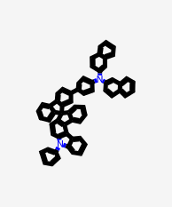 c1ccc(-n2c3ccccc3c3c4c(ccc32)C2(c3ccccc3-c3ccc(-c5ccc(N(c6ccc7ccccc7c6)c6ccc7ccccc7c6)cc5)cc32)c2ccccc2-4)cc1